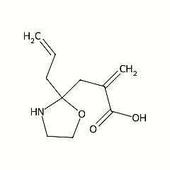 C=CCC1(CC(=C)C(=O)O)NCCO1